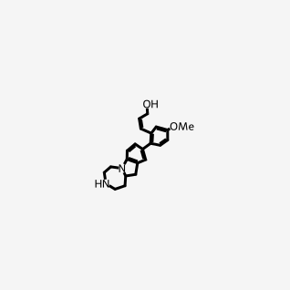 COc1ccc(-c2ccc3c(c2)CC2CCNCCN32)c(/C=C\CO)c1